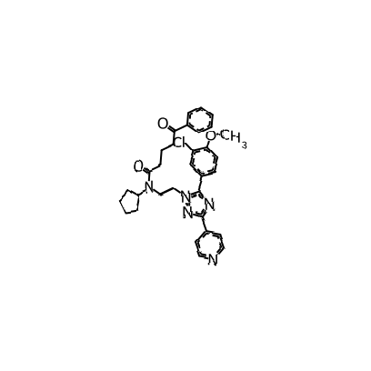 COc1ccc(-c2nc(-c3ccncc3)nn2CCN(C(=O)CCCC(=O)c2ccccc2)C2CCCC2)cc1Cl